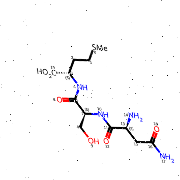 CSCC[C@H](NC(=O)[C@H](CO)NC(=O)[C@@H](N)CC(N)=O)C(=O)O